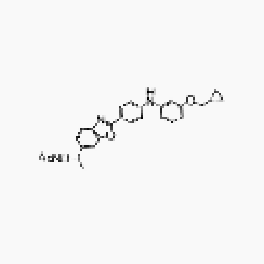 CC(=O)NC(C)c1ccc2nc(-c3ccc(Nc4cccc(OCC5CC5)c4)cc3)oc2c1